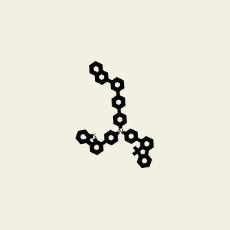 CC1(C)c2ccccc2-c2cccc(-c3ccc(N(c4ccc(-c5ccc(-c6cccc(-c7ccc8ccccc8c7)c6)cc5)cc4)c4ccc(-c5cccc6c5sc5ccccc56)cc4)cc3)c21